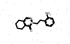 O=c1c2c(cnn1CCc1ccccc1[N+](=O)[O-])CCCC2